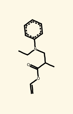 C=COC(=O)C(C)CN(CC)c1ccccc1